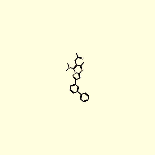 CC(=O)Cc1c(C)nc2cc(-c3cccc(-c4ccccc4)c3)nn2c1N(C)C